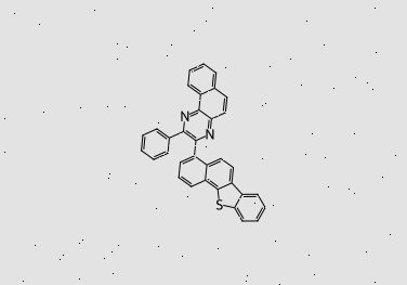 c1ccc(-c2nc3c(ccc4ccccc43)nc2-c2cccc3c2ccc2c4ccccc4sc32)cc1